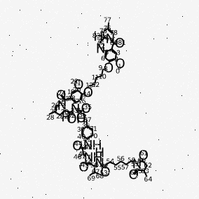 COc1cc2c(cc1OCCCCCOc1cc3c(cc1OC)C(=O)N1C=C(C)C[C@H]1[C@H](O)N3C(=O)OCc1ccc(NC(=O)[C@H](C)NC(=O)[C@@H](NC(=O)CCCCCN3C(=O)CC(C)C3=O)C(C)C)cc1)N=C[C@@H]1CC(C)=CN1C2=O